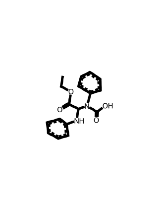 CCOC(=O)C(Nc1ccccc1)N(C(=O)O)c1ccccc1